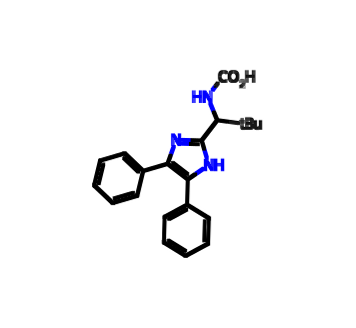 CC(C)(C)C(NC(=O)O)c1nc(-c2ccccc2)c(-c2ccccc2)[nH]1